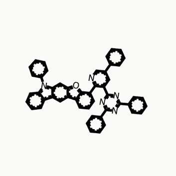 c1ccc(-c2cnc(-c3cccc4c3oc3cc5c(cc34)c3ccccc3n5-c3ccccc3)c(-c3nc(-c4ccccc4)nc(-c4ccccc4)n3)c2)cc1